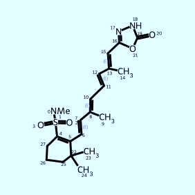 CNS(=O)(=O)C1=C(/C=C/C(C)=C/C=C/C(C)=C/c2n[nH]c(=O)o2)C(C)(C)CCC1